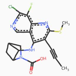 CC#Cc1c(SC)nc2c(F)c(Cl)ncc2c1NC1C2CC1N(C(=O)O)C2